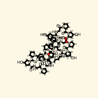 NCCCC[C@H](NC(=O)[C@@H]1CCCN1C(=O)CNC(=O)[C@@H]1C[C@@H](O)CN1C(=O)[C@@H]1CCCN1C(=O)CNC(=O)[C@@H]1C[C@@H](O)CN1C(=O)[C@@H]1CCCN1)C(=O)NCC(=O)N1CCC[C@H]1C(=O)N1C[C@H](O)C[C@H]1C(=O)NCC(=O)N1CCC[C@H]1C(=O)N1C[C@H](O)C[C@H]1C(=O)NCC(=O)N1CCC[C@H]1C(=O)N1C[C@H](O)C[C@H]1C(=O)NCC(=O)N1CCC[C@H]1C(=O)N1C[C@H](O)C[C@H]1C(=O)O